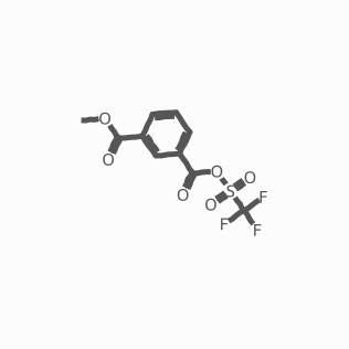 COC(=O)c1cccc(C(=O)OS(=O)(=O)C(F)(F)F)c1